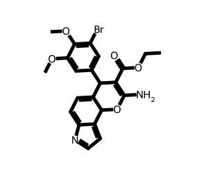 CCOC(=O)C1=C(N)OC2C3=CC=NC3=CC=C2C1c1cc(Br)c(OC)c(OC)c1